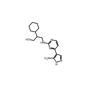 Nc1[nH]ncc1-c1ccnc(NCC(CO)C2CCCCC2)n1